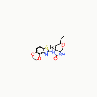 CCC1C[C@@H]2C(CO1)NC(=O)N2c1nc2c3c(ccc2s1)OCCO3